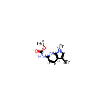 CC(C)c1cn(C(C)C)c2nc(NC(=O)OC(C)(C)C)ccc12